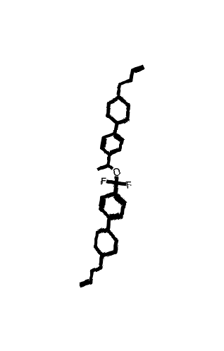 C=CCCC1CCC(c2ccc(C(C)OC(F)(F)c3ccc(C4CCC(CCC=C)CC4)cc3)cc2)CC1